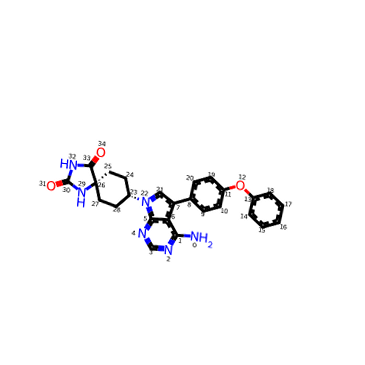 Nc1ncnc2c1c(-c1ccc(Oc3ccccc3)cc1)cn2[C@H]1CC[C@]2(CC1)NC(=O)NC2=O